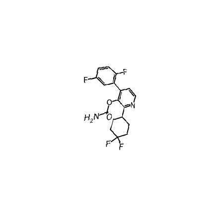 NC(=O)Oc1c(-c2cc(F)ccc2F)ccnc1C1CCC(F)(F)CC1